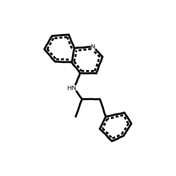 CC(Cc1ccccc1)Nc1ccnc2ccccc12